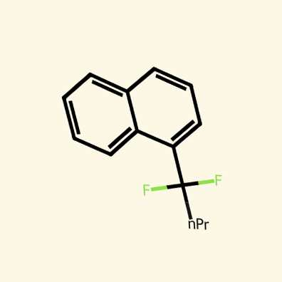 CCCC(F)(F)c1cccc2ccccc12